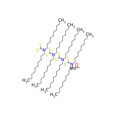 CCCCCCCCCCN(CCCCCCCCCC)C(=S)[S-].CCCCCCCCCCN(CCCCCCCCCC)C(=S)[S-].CCCCCCCCCCN(CCCCCCCCCC)C(=S)[S-].CCCCCCCCCCN(CCCCCCCCCC)C(=S)[S-].[O]=[Mo+4]